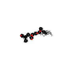 C[Si](C)(C)c1ccc(-n2c3ccccc3c3cc(-c4ccc(-c5ccc6c(c5)c5ccccc5n6-c5cccc(-c6cc(-c7ccccc7)nc(-c7ccccc7)n6)c5)cc4)ccc32)cc1